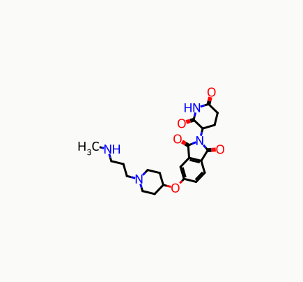 CNCCCN1CCC(Oc2ccc3c(c2)C(=O)N(C2CCC(=O)NC2=O)C3=O)CC1